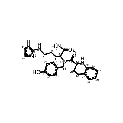 NC(=O)[C@H](CCCNc1ncc[nH]1)N(Cc1ccc(O)cc1)C(=O)C1CCc2ccccc2N1